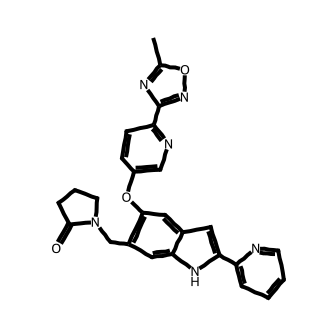 Cc1nc(-c2ccc(Oc3cc4cc(-c5ccccn5)[nH]c4cc3CN3CCCC3=O)cn2)no1